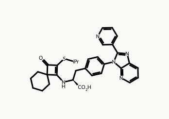 CC(C)SC1=C(N[C@@H](Cc2ccc(-n3c(-c4cccnc4)nc4cccnc43)cc2)C(=O)O)C2(CCCCC2)C1=O